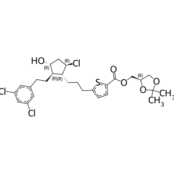 CC1(C)OC[C@H](COC(=O)c2ccc(CCC[C@@H]3[C@@H](CCc4cc(Cl)cc(Cl)c4)[C@H](O)C[C@H]3Cl)s2)O1